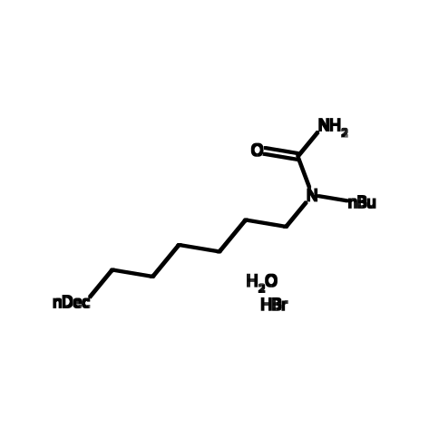 Br.CCCCCCCCCCCCCCCCN(CCCC)C(N)=O.O